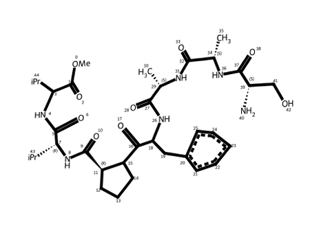 COC(=O)C(NC(=O)[C@H](NC(=O)[C@@H]1CCCC1C(=O)C(Cc1ccccc1)NC(=O)[C@H](C)NC(=O)[C@H](C)NC(=O)[C@@H](N)CO)C(C)C)C(C)C